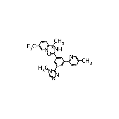 Cc1ccc(-c2cc(C(=O)N[C@H](C)c3ccc(C(F)(F)F)cn3)cc(-c3nncn3C)c2)nc1